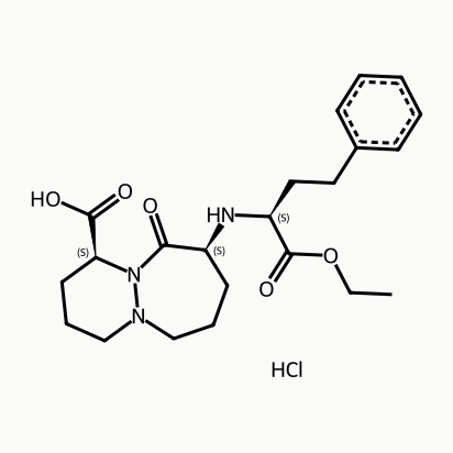 CCOC(=O)[C@H](CCc1ccccc1)N[C@H]1CCCN2CCC[C@@H](C(=O)O)N2C1=O.Cl